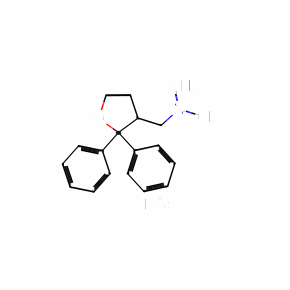 Br.CN(C)CC1CCOC1(c1ccccc1)c1ccccc1